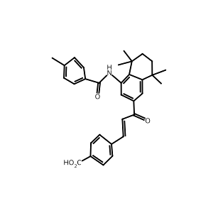 Cc1ccc(C(=O)Nc2cc(C(=O)C=Cc3ccc(C(=O)O)cc3)cc3c2C(C)(C)CCC3(C)C)cc1